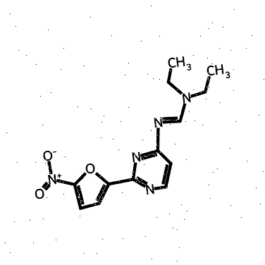 CCN(C=Nc1ccnc(-c2ccc([N+](=O)[O-])o2)n1)CC